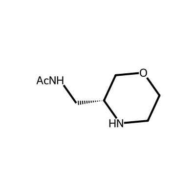 CC(=O)NC[C@@H]1COCCN1